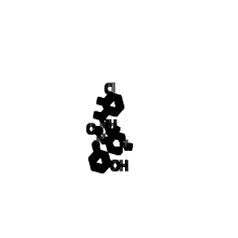 Cc1c(Cl)cccc1C(C)NC(=O)N(Cc1cccc(O)c1)C1CCN(C)CC1(C)C